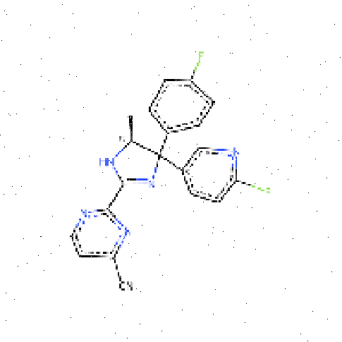 C[C@@H]1NC(c2nccc(C#N)n2)=NC1(c1ccc(F)cc1)c1ccc(F)nc1